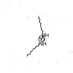 CCCCCCCCCCNC(=O)/C=C\C(=O)NCCCCCCCCCC